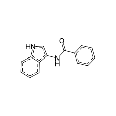 O=C(Nc1c[nH]c2ccccc12)c1ccccc1